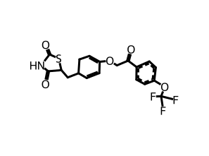 O=C1NC(=O)C(CC2C=CC(OCC(=O)c3ccc(OC(F)(F)F)cc3)=CC2)S1